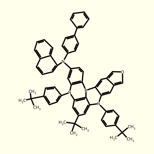 CC(C)(C)c1ccc(N2c3cc(N(c4ccc(-c5ccccc5)cc4)c4cccc5ccccc45)ccc3B3c4cc5cocc5cc4N(c4ccc(C(C)(C)C)cc4)c4cc(C(C)(C)C)cc2c43)cc1